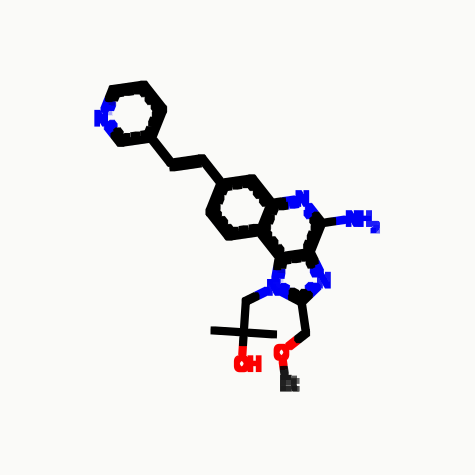 CCOCc1nc2c(N)nc3cc(/C=C/c4cccnc4)ccc3c2n1CC(C)(C)O